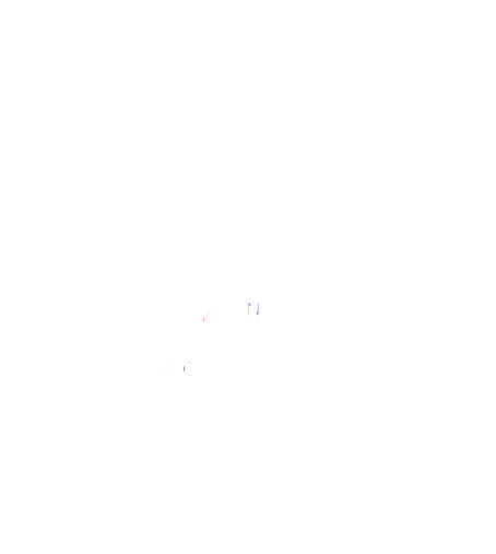 CO/N=C1/C=CCC1